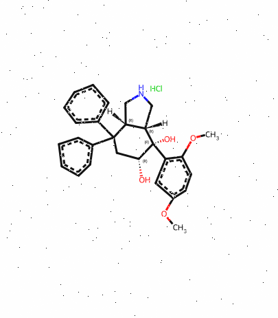 COc1ccc(OC)c([C@@]2(O)[C@H](O)CC(c3ccccc3)(c3ccccc3)[C@@H]3CNC[C@@H]32)c1.Cl